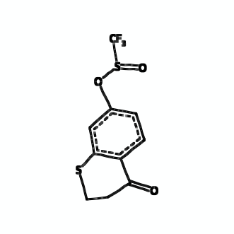 O=C1CCSc2cc(OS(=O)C(F)(F)F)ccc21